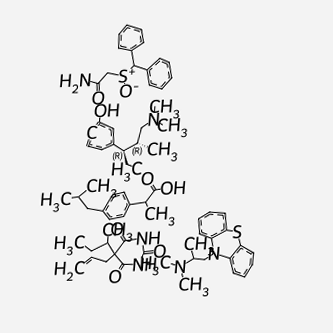 C=CCC1(C(C)CC)C(=O)NC(=O)NC1=O.CC(C)Cc1ccc(C(C)C(=O)O)cc1.CC(CN1c2ccccc2Sc2ccccc21)N(C)C.CC[C@@H](c1cccc(O)c1)[C@@H](C)CN(C)C.NC(=O)C[S+]([O-])C(c1ccccc1)c1ccccc1